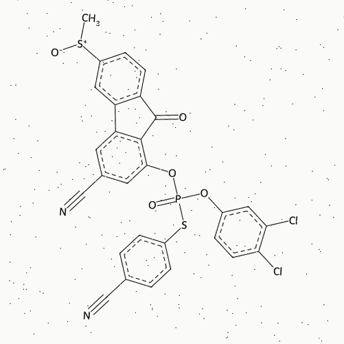 C[S+]([O-])c1ccc2c(c1)-c1cc(C#N)cc(OP(=O)(Oc3ccc(Cl)c(Cl)c3)Sc3ccc(C#N)cc3)c1C2=O